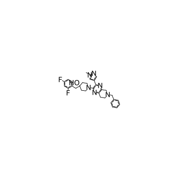 Cn1cc(-c2nc3c(nc2N2CCC(O)(Cc4ccc(F)cc4F)CC2)CCN(Cc2ccccc2)C3)cn1